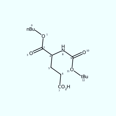 CCCCOC(=O)C(CCC(=O)O)NC(=O)OC(C)(C)C